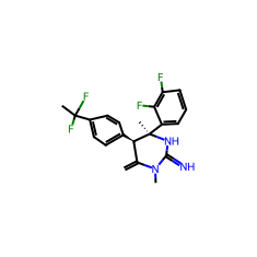 C=C1[C@@H](c2ccc(C(C)(F)F)cc2)[C@@](C)(c2cccc(F)c2F)NC(=N)N1C